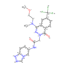 COCCN(C)c1nn(CC(=O)Nc2ccc3nncn3c2)c(=O)c2ccc(C(F)(F)F)cc12